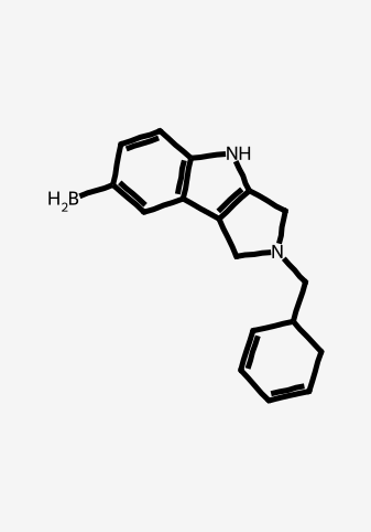 Bc1ccc2[nH]c3c(c2c1)CN(CC1C=CC=CC1)C3